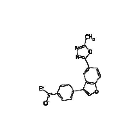 CC[S+]([O-])c1ccc(-c2coc3ccc(-c4nnc(C)o4)cc23)cc1